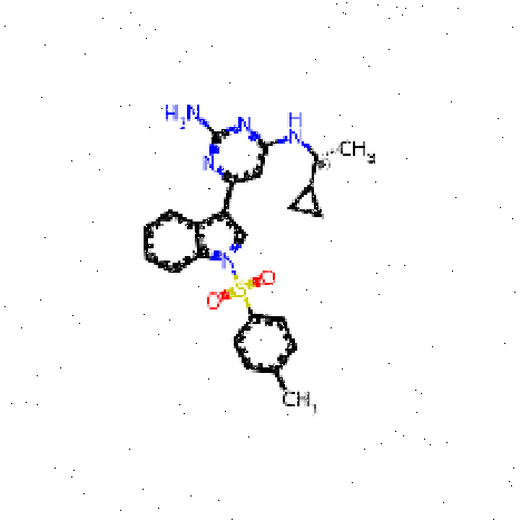 Cc1ccc(S(=O)(=O)n2cc(-c3cc(N[C@H](C)C4CC4)nc(N)n3)c3ccccc32)cc1